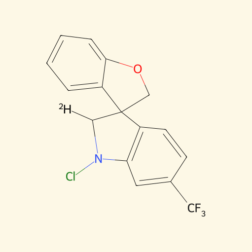 [2H]C1N(Cl)c2cc(C(F)(F)F)ccc2C12COc1ccccc12